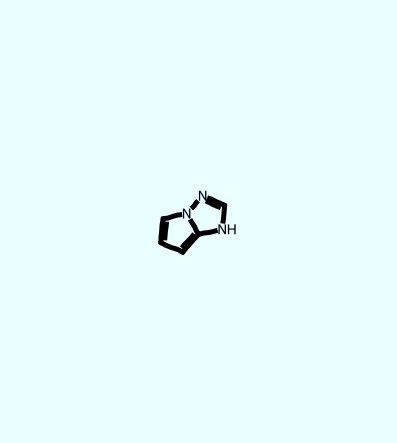 c1cc2[nH]cnn2c1